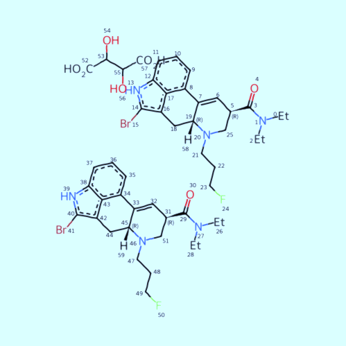 CCN(CC)C(=O)[C@@H]1C=C2c3cccc4[nH]c(Br)c(c34)C[C@H]2N(CCCF)C1.CCN(CC)C(=O)[C@@H]1C=C2c3cccc4[nH]c(Br)c(c34)C[C@H]2N(CCCF)C1.O=C(O)C(O)C(O)C(=O)O